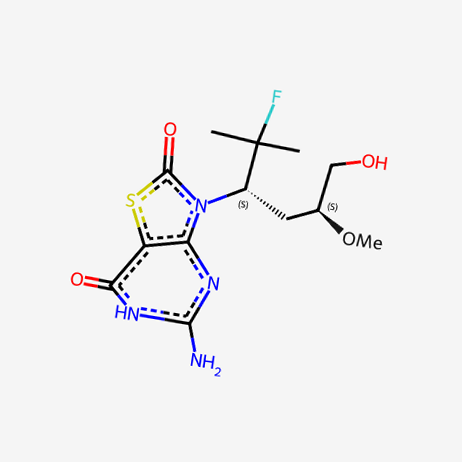 CO[C@H](CO)C[C@H](n1c(=O)sc2c(=O)[nH]c(N)nc21)C(C)(C)F